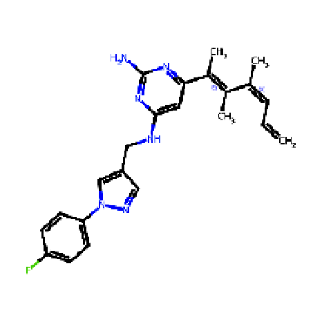 C=C/C=C(C)\C(C)=C(/C)c1cc(NCc2cnn(-c3ccc(F)cc3)c2)nc(N)n1